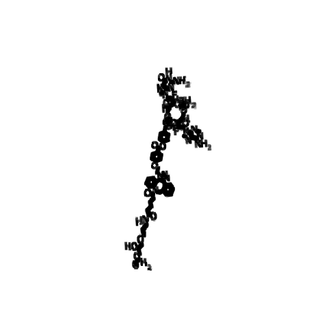 BP1(=O)OC[C@H]2O[C@@H](n3cnc4c(N)ncnc43)[C@H](F)[C@@H]2O[P@@](=O)(SCc2ccc(OC(=O)c3ccc(OCCn4nnc5c4-c4ccccc4N(C(=O)CCCCC(=O)NCCCOCC(O)CO[PH2]=O)Cc4ccccc4-5)cc3)cc2)OC[C@H]2O[C@@H](n3cnc4c(=O)[nH]c(N)nc43)[C@H](F)[C@@H]2O1